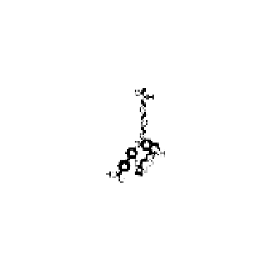 CC(=O)NCCOCCOCCOc1cc2c(cc1Oc1ccc(-c3ccc(C(=O)O)cc3)c(F)c1)[C@@](C)(CC(=O)Cc1nccs1)NCC2